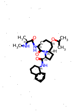 CN[C@@H](C)C(=O)N[C@H]1CC[C@H](OC(C)C)C[C@H]2CC[C@@H](C(=O)N[C@@H]3CCCc4ccccc43)N2C1=O